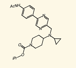 CC(=O)Nc1ccc(-c2cnc(CN(C3CC3)C3CCN(C(=O)OC(C)C)CC3)cn2)cc1